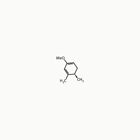 COC1=CC[C@@H](C)C(C)=C1